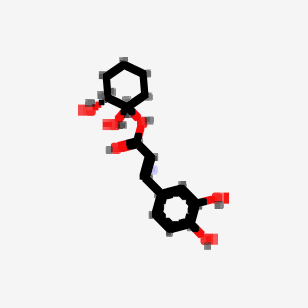 O=C(/C=C/c1ccc(O)c(O)c1)O[C@@]1(O)CCCC[C@H]1O